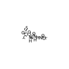 COc1c(C=C(C)C)cc2c(c1-c1ccsc1)OCc1c(C(=O)NCCCNC(=O)OC(C)(C)C)n[nH]c1-2